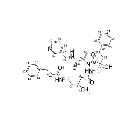 CC(CCNC(=O)OCc1ccccc1)CC(=O)NCC(O)(CCc1ccccc1)c1nc(C(=O)NCc2cccnc2)co1